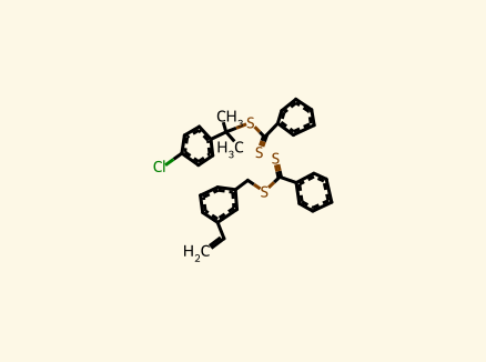 C=Cc1cccc(CSC(=S)c2ccccc2)c1.CC(C)(SC(=S)c1ccccc1)c1ccc(Cl)cc1